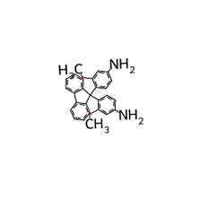 CCc1cc(N)ccc1C1(c2ccc(N)cc2CC)c2ccccc2-c2ccccc21